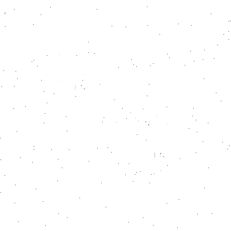 C=CS(=O)(=O)NC[C@H]1CCN(S(=O)(=O)c2ccc(CC(=O)NCc3ccccc3)cc2)C1